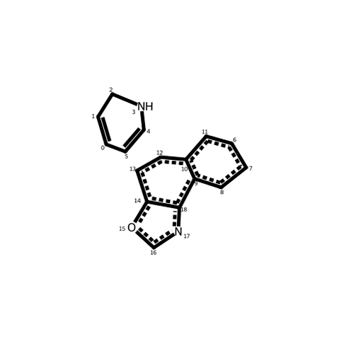 C1=CCNC=C1.c1ccc2c(c1)ccc1ocnc12